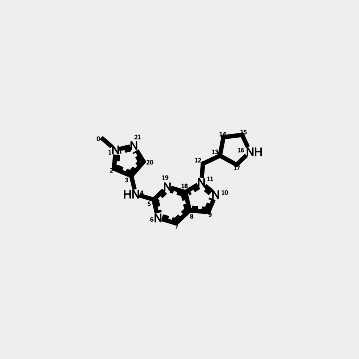 Cn1cc(Nc2ncc3cnn(CC4CCNC4)c3n2)cn1